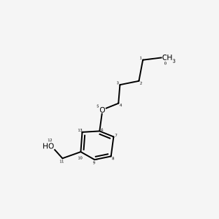 CCCCCOc1cc[c]c(CO)c1